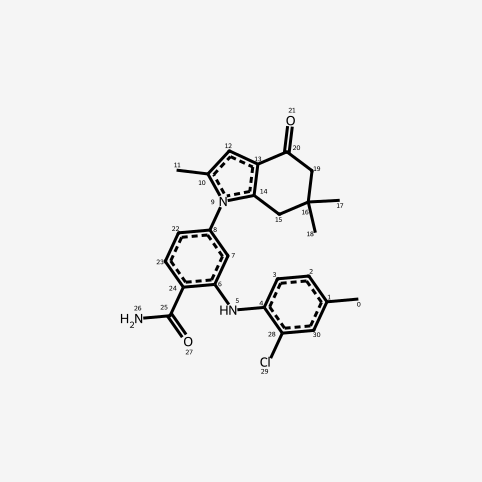 Cc1ccc(Nc2cc(-n3c(C)cc4c3CC(C)(C)CC4=O)ccc2C(N)=O)c(Cl)c1